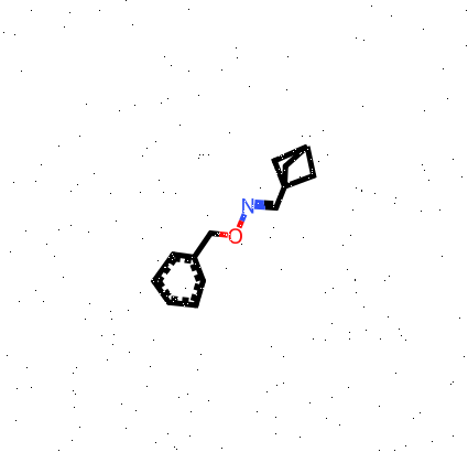 C(=NOCc1ccccc1)C12CC(C1)C2